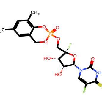 Cc1cc(C)c2c(c1)COP(=O)(OC[C@@]1(F)O[C@@H](n3cc(F)c(=S)[nH]c3=O)[C@H](O)[C@@H]1O)O2